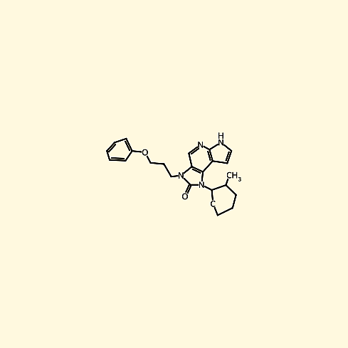 CC1CCCCC1n1c(=O)n(CCCOc2ccccc2)c2cnc3[nH]ccc3c21